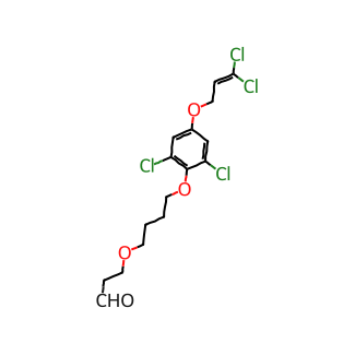 O=CCCOCCCCOc1c(Cl)cc(OCC=C(Cl)Cl)cc1Cl